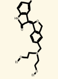 CCOCCN(CCOCC)Cc1ccc2c(c1)CO/C2=C1/C(=O)Nc2ccc(F)cc21